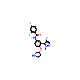 Cn1ncc(Br)c1-c1cc(NC(=O)c2ccc(F)cc2F)ccc1O[C@@H]1CCNC1